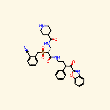 N#Cc1ccccc1CS(=O)(=O)[C@H](CNC(=O)C1CCNCC1)C(=O)NCCC(C(=O)c1nc2ccccc2o1)c1ccccc1